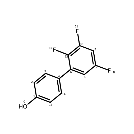 Oc1ccc(-c2cc(F)cc(F)c2F)cc1